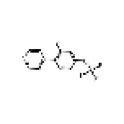 Cc1cc(OC(F)(F)F)ccc1-c1ccnnc1